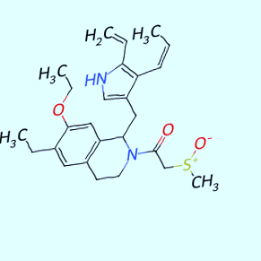 C=Cc1[nH]cc(CC2c3cc(OCC)c(CC)cc3CCN2C(=O)C[S+](C)[O-])c1/C=C\C